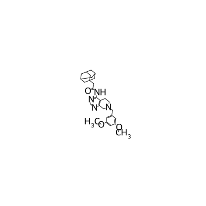 COc1cc(CN2CCc3c(ncnc3NC(=O)CC34CC5CC(CC(C5)C3)C4)C2)cc(OC)c1